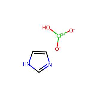 [O-][Cl+2]([O-])O.c1c[nH]cn1